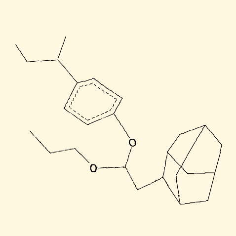 CCCOC(CC1C2CC3CC(C2)CC1C3)Oc1ccc(C(C)CC)cc1